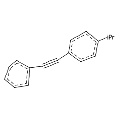 CC(C)c1ccc(C#Cc2ccccc2)cc1